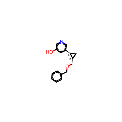 Oc1cncc([C@H]2C[C@@H]2COCc2ccccc2)c1